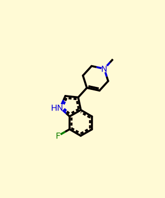 CN1CC=C(c2c[nH]c3c(F)cccc23)CC1